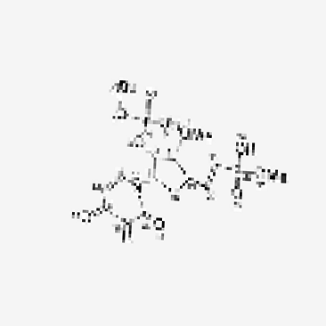 CO[C@H]1[C@@H](OP(O)(=S)OC(C)(C)C)[C@@H](n2ccc(=O)[nH]c2=O)C[C@@H]1/C=C/P(=O)(O)OC